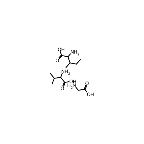 CC(C)C(N)C(=O)O.CCC(C)C(N)C(=O)O.NCC(=O)O